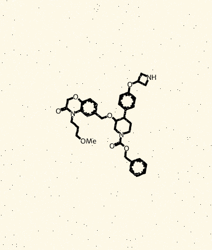 COCCCN1C(=O)COc2ccc(COC3CN(C(=O)OCc4ccccc4)CCC3c3ccc(OC4CNC4)cc3)cc21